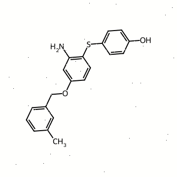 Cc1cccc(COc2ccc(Sc3ccc(O)cc3)c(N)c2)c1